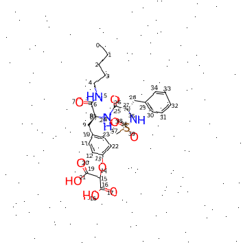 CCCCCNC(=O)[C@H](Cc1ccc(OC(C(=O)O)C(=O)O)cc1)NC(=O)[C@H](Cc1ccccc1)NS(C)(=O)=O